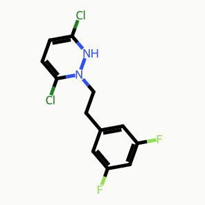 Fc1cc(F)cc(CCN2NC(Cl)=CC=C2Cl)c1